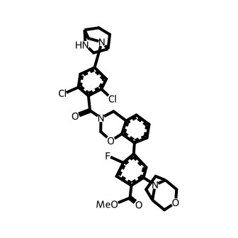 COC(=O)c1cc(F)c(-c2cccc3c2OCN(C(=O)c2c(Cl)cc(N4CC5CCC4CN5)cc2Cl)C3)cc1N1C2CCC1COC2